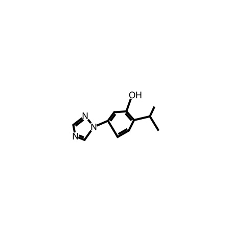 CC(C)c1ccc(-n2cncn2)cc1O